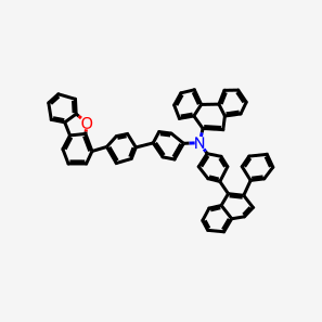 c1ccc(-c2ccc3ccccc3c2-c2ccc(N(c3ccc(-c4ccc(-c5cccc6c5oc5ccccc56)cc4)cc3)c3cc4ccccc4c4ccccc34)cc2)cc1